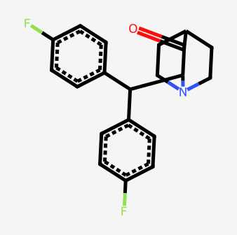 O=C1C2CCN(CC2)C1C(c1ccc(F)cc1)c1ccc(F)cc1